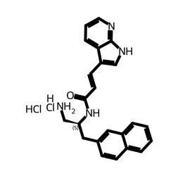 Cl.Cl.NC[C@H](Cc1ccc2ccccc2c1)NC(=O)C=Cc1c[nH]c2ncccc12